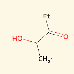 [CH2]C(O)C(=O)CC